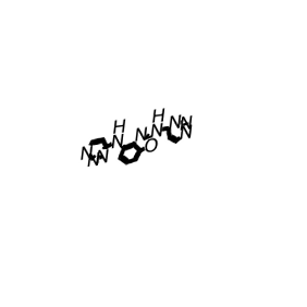 c1cc(Nc2ccnnn2)c2nc(Nc3ccnnn3)oc2c1